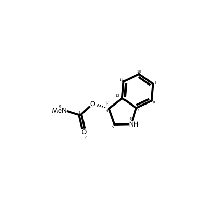 CNC(=O)O[C@H]1CNc2ccccc21